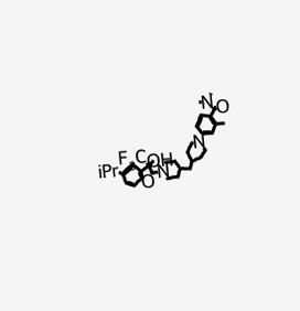 Cc1cc(N2CCC(CC3CCN(C(=O)C(O)(c4cccc(C(C)C)c4)C(F)(F)F)CC3)CC2)ccc1C(=O)N(C)C